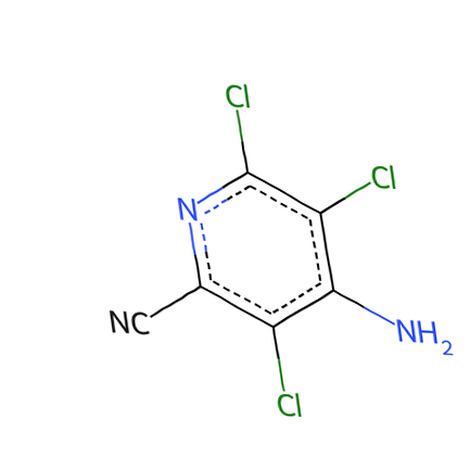 N#Cc1nc(Cl)c(Cl)c(N)c1Cl